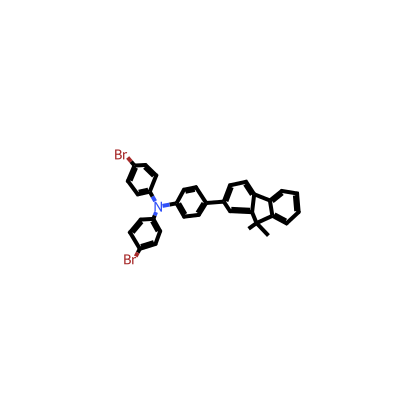 CC1(C)c2ccccc2-c2ccc(-c3ccc(N(c4ccc(Br)cc4)c4ccc(Br)cc4)cc3)cc21